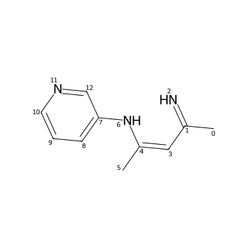 CC(=N)/C=C(/C)Nc1cccnc1